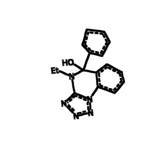 CCN1c2nnnn2-c2ccccc2C1(O)c1ccccc1